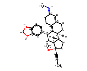 CC#C[C@]1(O)CC[C@H]2[C@@H]3CCC4=C/C(=N/C)CCC4=C3[C@@H](c3ccc4c(c3)OCO4)C[C@@]21C